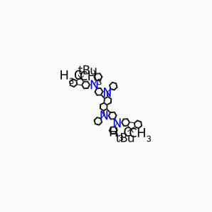 CC(C)(C)c1cccc(N(c2ccc3c(c2)C(C)(C)c2ccccc2-3)c2ccc3c4c5ccc6c(c5ccc4n(-c4ccccc4)c3c2)c2ccc(N(c3cccc(C(C)(C)C)c3)c3ccc4c(c3)C(C)(C)c3ccccc3-4)cc2n6-c2ccccc2)c1